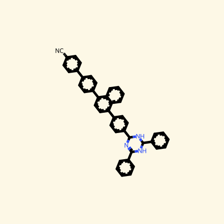 N#Cc1ccc(-c2ccc(-c3ccc(-c4ccc(C5N=C(c6ccccc6)NC(c6ccccc6)N5)cc4)c4ccccc34)cc2)cc1